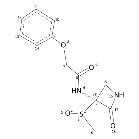 C[S+]([O-])[C@@]1(NC(=O)COc2ccccc2)CNC1=O